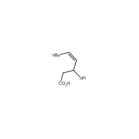 CCCC/C=C\C(CCC)CC(=O)O